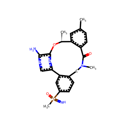 Cc1ccc2c(c1)[C@@H](C)Oc1nc(cnc1N)-c1cc(S(C)(=N)=O)ccc1CN(C)C2=O